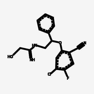 N#Cc1cc(F)c(Cl)cc1OC(CNC(=N)CO)c1ccccc1